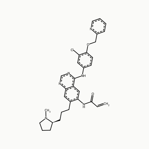 C=CC(=O)Nc1cc2c(Nc3ccc(OCc4ccccn4)c(Cl)c3)ncnc2cc1CCC[C@H]1CCCN1C